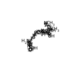 Cc1ncsc1-c1ccc([C@H](C)NC(=O)[C@@H]2C[C@@H](O)CN2C(=O)[C@@H](c2cc(N3CCC(OC4CC(OCC#Cc5cn6cc(-c7ccccc7O)nc6nc5N)C4)CC3)no2)C(C)C)cc1